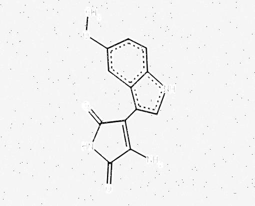 COc1ccc2[nH]cc(C3=C(N)C(=O)NC3=O)c2c1